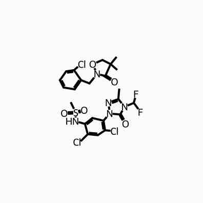 CC1(C)CON(Cc2ccccc2Cl)C1=O.Cc1nn(-c2cc(NS(C)(=O)=O)c(Cl)cc2Cl)c(=O)n1C(F)F